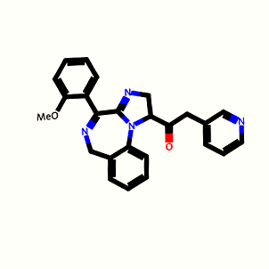 COc1ccccc1C1=NCc2ccccc2N2C1=NCC2C(=O)Cc1cccnc1